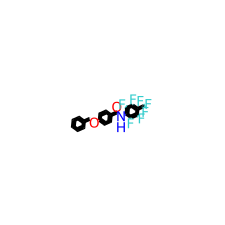 O=C(Nc1c(F)c(F)c(C(F)(F)F)c(F)c1F)c1ccc(OCc2ccccc2)cc1